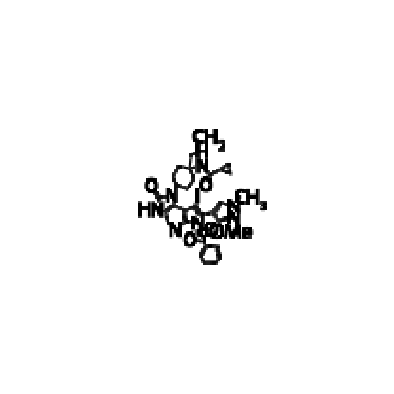 C=CCC1(NC(=O)C2CC2)CCC(n2c(=O)[nH]c3cnc4c(c(I)c(-c5cn(C)nc5OC)n4S(=O)(=O)c4ccccc4)c32)CC1